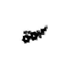 COc1cc(S(=O)(=O)NCCCl)ccc1-c1ccccc1